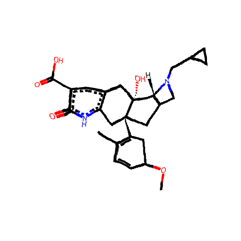 COC1C=CC(C)=C([C@@]23Cc4[nH]c(=O)c(C(=O)O)cc4C[C@@]2(O)[C@H]2C(CN2CC2CC2)C3)C1